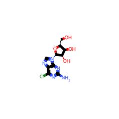 Nc1nc(Cl)c2ncn([C@@H]3O[C@H](CO)C(O)[C@@H]3O)c2n1